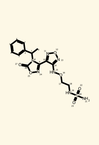 CC(c1ccccc1)n1c(-c2nonc2NOCCNS(N)(=O)=O)noc1=O